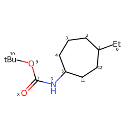 CCC1CCCC(NC(=O)OC(C)(C)C)CC1